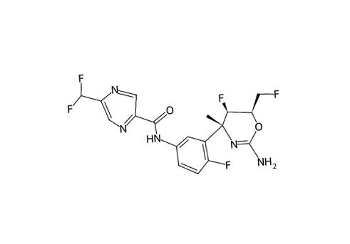 C[C@]1(c2cc(NC(=O)c3cnc(C(F)F)cn3)ccc2F)N=C(N)O[C@H](CF)[C@@H]1F